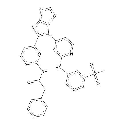 CS(=O)(=O)c1cccc(Nc2nccc(-c3c(-c4cccc(NC(=O)Cc5ccccc5)c4)nc4sccn34)n2)c1